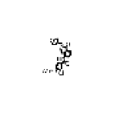 COc1ccc(C(=O)Nc2cccc3c(=O)n(CC4CCOCC4)ccc23)cc1Cl